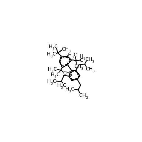 CC(C)Cc1cc(CC(C)C)c(-c2c(C(C)(C)C)[c]c(C(C)(C)C)cc2C(C)(C)C)c(CC(C)C)c1